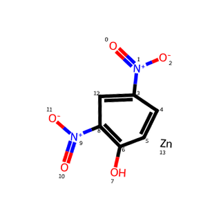 O=[N+]([O-])c1ccc(O)c([N+](=O)[O-])c1.[Zn]